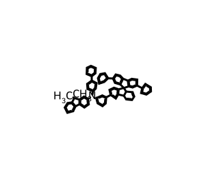 CC1(C)c2ccccc2-c2ccc(N(c3ccc(-c4ccccc4)cc3)c3cccc(-c4ccc5c(c4)C4C=CC=CC4C54c5cc(-c6ccccc6)ccc5-c5ccc(-c6ccccc6)cc54)c3)cc21